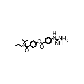 CCCN(C(=O)c1ccc(OC(=O)c2ccc(NC(=N)N)cc2)cc1)C(C)C